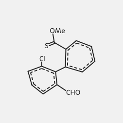 COC(=S)c1ccccc1-c1c(Cl)cccc1C=O